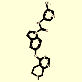 Cc1cncc(NC(=O)n2ccc3cc(Oc4ncnc5c4CCNC5)ccc32)c1